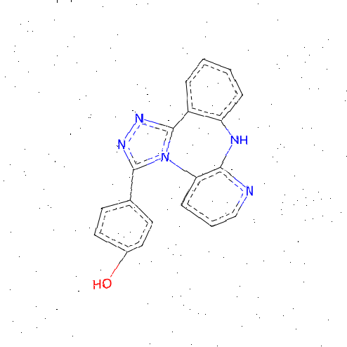 Oc1ccc(-c2nnc3n2-c2cccnc2Nc2ccccc2-3)cc1